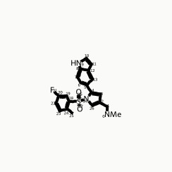 CNCc1cc(-c2ccc3[nH]ccc3c2)n(S(=O)(=O)c2cc(F)ccc2C)c1